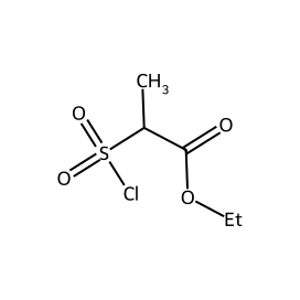 CCOC(=O)C(C)S(=O)(=O)Cl